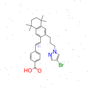 CC1(C)CCC(C)(C)c2cc(CCCn3cc(Br)cn3)c(/C=C/c3ccc(C(=O)O)cc3)cc21